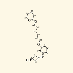 O[C@H]1C[C@H](Oc2cccc(OCCCCCCOC3CCCCO3)c2)C1